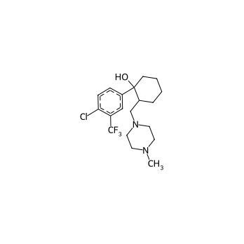 CN1CCN(CC2CCCCC2(O)c2ccc(Cl)c(C(F)(F)F)c2)CC1